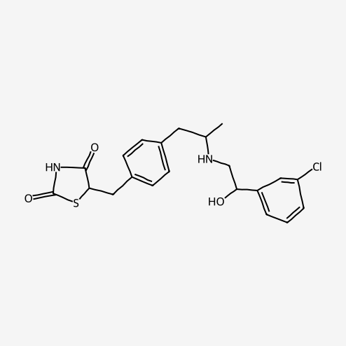 CC(Cc1ccc(CC2SC(=O)NC2=O)cc1)NCC(O)c1cccc(Cl)c1